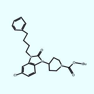 CC(C)(C)OC(=O)N1CCC(n2c(=O)n(CCCCc3ccccc3)c3cc(Cl)ccc32)CC1